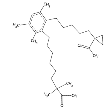 Cc1cc(C)c(CCCCCC2(C(=O)O)CC2)c(CCCCCCC(C)(C)C(=O)O)c1C